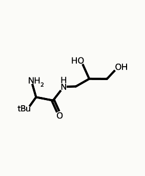 CC(C)(C)C(N)C(=O)NCC(O)CO